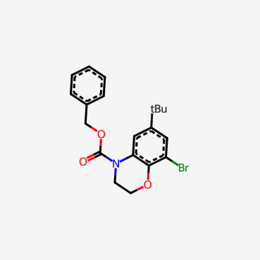 CC(C)(C)c1cc(Br)c2c(c1)N(C(=O)OCc1ccccc1)CCO2